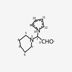 O=[C]C(N1CCCCC1)n1cccc1